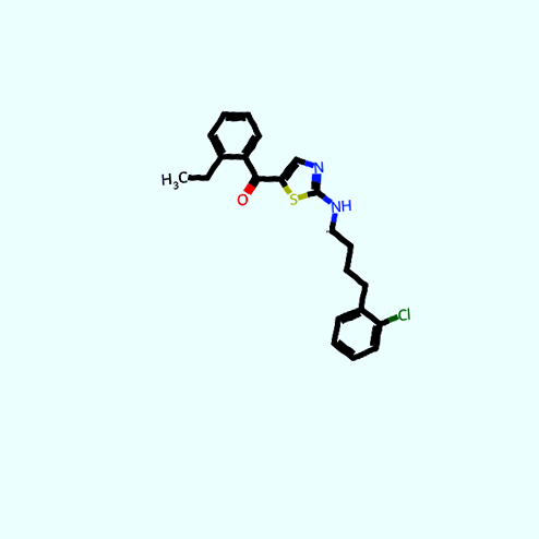 CCc1ccccc1C(=O)c1cnc(N[CH]CCCc2ccccc2Cl)s1